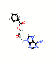 Nc1ncnc2c1ncn2C[C@@H]1O[C@@H]1COC(=O)c1ccccc1